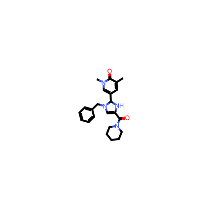 Cc1cc(C2NC(C(=O)N3CCCCC3)=CN2Cc2ccccc2)cn(C)c1=O